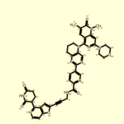 Cc1cc2c(N3CCCc4nc(-c5ccc(C(=O)NCC#Cc6cc7c(C8CCC(=O)NC8=O)nccc7o6)nc5)ncc43)nc(N3CCOCC3)cc2n(C)c1=O